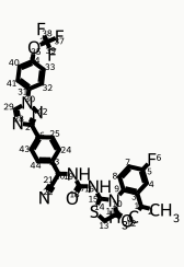 CC(C)c1cc(F)ccc1N1C(=O)CSC1NC(=O)NC(C#N)c1ccc(-c2ncn(-c3ccc(OC(F)(F)F)cc3)n2)cc1